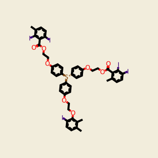 Cc1ccc(I)c(OCCOc2ccc([S+](c3ccc(OCCOC(=O)c4c(C)ccc(I)c4I)cc3)c3ccc(OCCOC(=O)c4c(I)ccc(C)c4I)cc3)cc2)c1C